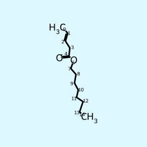 CC=CCC(=O)OCCCCCCCC